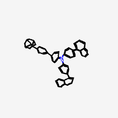 c1ccc2c(-c3ccc(N(c4ccc(-c5ccc(C67CC8CC(CC(C8)C6)C7)cc5)cc4)c4ccc(-c5cccc6ccccc56)cc4)cc3)cccc2c1